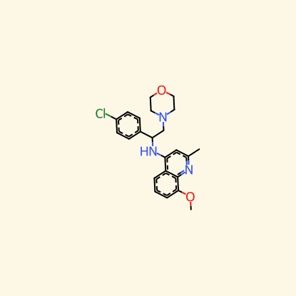 COc1cccc2c(NC(CN3CCOCC3)c3ccc(Cl)cc3)cc(C)nc12